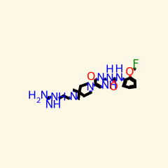 N=C(N)NCCCN1CC2(CCN(c3c[nH]c(NC(=O)Nc4ccccc4OCF)nc3=O)CC2)C1